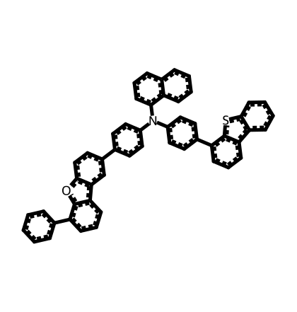 c1ccc(-c2cccc3c2oc2ccc(-c4ccc(N(c5ccc(-c6cccc7c6sc6ccccc67)cc5)c5cccc6ccccc56)cc4)cc23)cc1